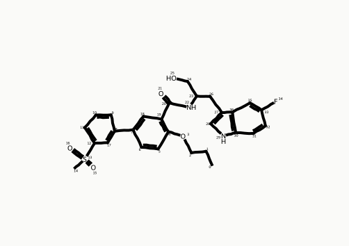 CCCOc1ccc(-c2cccc(S(C)(=O)=O)c2)cc1C(=O)NC(CO)Cc1c[nH]c2ccc(F)cc12